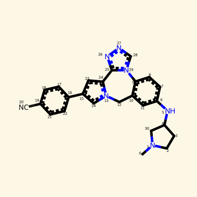 CN1CCC(Nc2ccc3c(c2)Cn2cc(-c4ccc(C#N)cc4)cc2-c2nncn2-3)C1